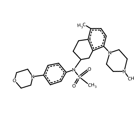 Cc1ccc(N2CCN(C)CC2)c2c1CCC(N(c1ccc(N3CCOCC3)cc1)S(C)(=O)=O)C2